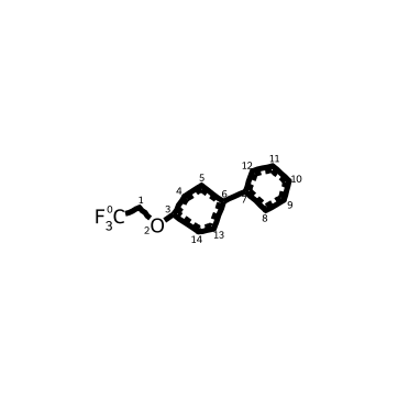 FC(F)(F)COc1ccc(-c2ccccc2)cc1